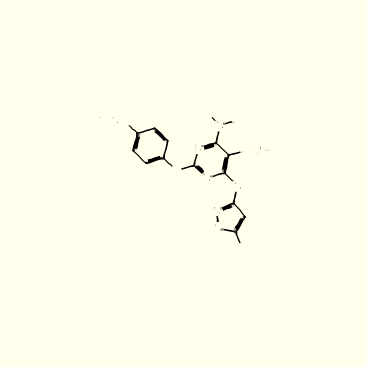 COc1c(Nc2cc(C)[nH]n2)nc(Sc2ccc(NC(C)=O)cc2)nc1N(C)C